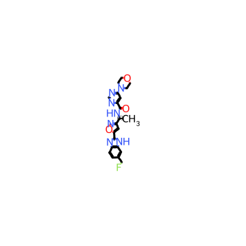 C[C@H](NC(=O)c1cc(N2CCOCC2)ncn1)c1cc(-c2nc3ccc(CF)cc3[nH]2)on1